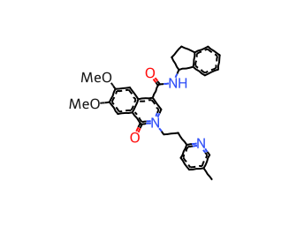 COc1cc2c(C(=O)NC3CCc4ccccc43)cn(CCc3ccc(C)cn3)c(=O)c2cc1OC